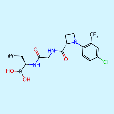 CC(C)C[C@@H](NC(=O)CNC(=O)[C@@H]1CCN1c1ccc(Cl)cc1C(F)(F)F)B(O)O